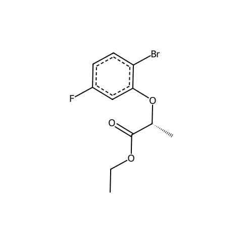 CCOC(=O)[C@@H](C)Oc1cc(F)ccc1Br